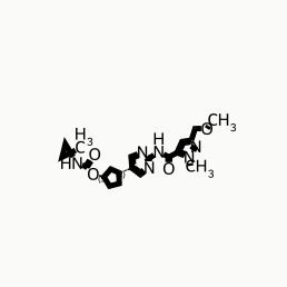 COCc1cc(C(=O)Nc2ncc([C@@H]3CC[C@H](OC(=O)NC4(C)CC4)C3)cn2)n(C)n1